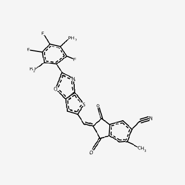 Cc1cc2c(cc1C#N)C(=O)/C(=C\c1cc3oc(-c4c(F)c(P)c(F)c(F)c4P)nc3s1)C2=O